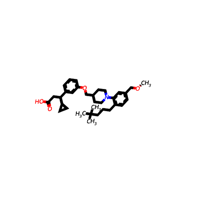 COCc1ccc(CCCC(C)(C)C)c(N2CCC(COc3cccc(C(CC(=O)O)C4CC4)c3)CC2)c1